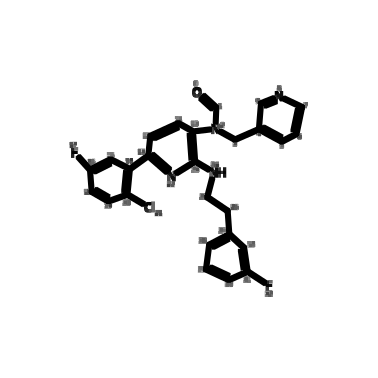 O=CN(Cc1cccnc1)c1ccc(-c2cc(F)ccc2Cl)nc1NCCc1cccc(F)c1